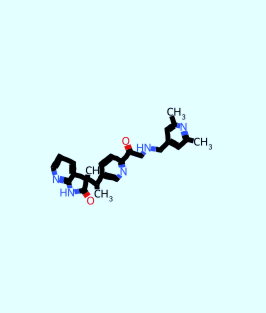 Cc1cc(CNCC(=O)c2ccc(C(C)C3(C)C(=O)Nc4ncccc43)cn2)cc(C)n1